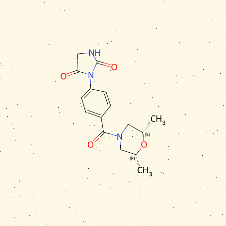 C[C@@H]1CN(C(=O)c2ccc(N3C(=O)CNC3=O)cc2)C[C@H](C)O1